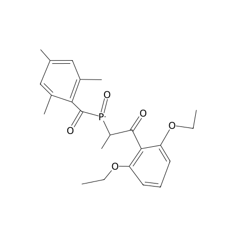 CCOc1cccc(OCC)c1C(=O)C(C)[P](=O)C(=O)c1c(C)cc(C)cc1C